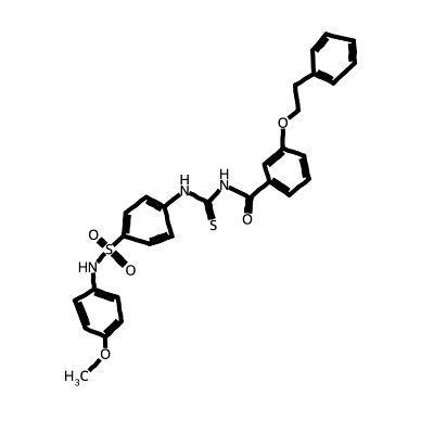 COc1ccc(NS(=O)(=O)c2ccc(NC(=S)NC(=O)c3cccc(OCCc4ccccc4)c3)cc2)cc1